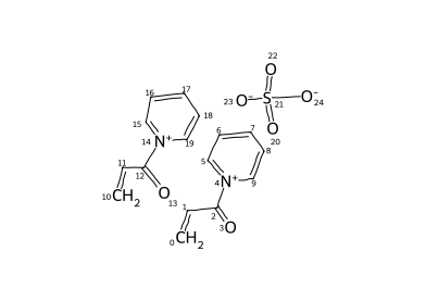 C=CC(=O)[n+]1ccccc1.C=CC(=O)[n+]1ccccc1.O=S(=O)([O-])[O-]